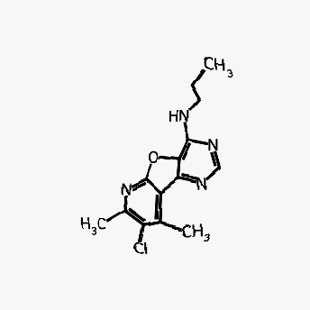 CCCNc1ncnc2c1oc1nc(C)c(Cl)c(C)c12